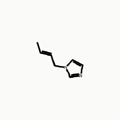 CC=CCn1[c]ncc1